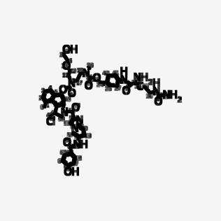 Cc1cccc2c(OC(=O)N(CCOCCO)CCN(C)C(=O)OCc3ccc(NC(=O)[C@@H](N)CCCNC(N)=O)cc3)cc3c(c12)[C@H](CCl)CN3C(=O)c1cn2cc(NC(=O)c3ccc(O)cc3)ccc2n1